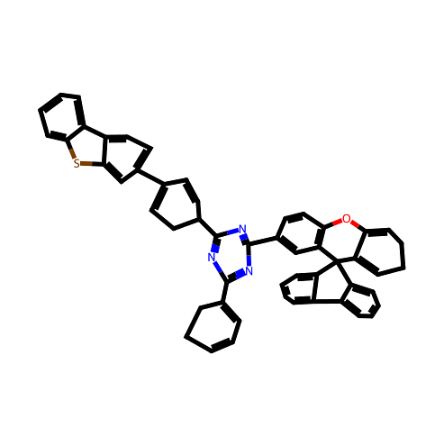 C1=CCCC(c2nc(-c3ccc4c(c3)C3(C5=CCCC=C5O4)c4ccccc4-c4ccccc43)nc(C3C=CC(c4ccc5c(c4)sc4ccccc45)=CC3)n2)=C1